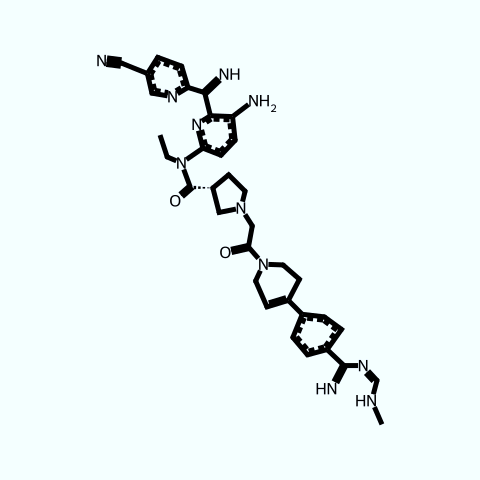 CCN(C(=O)[C@@H]1CCN(CC(=O)N2CC=C(c3ccc(C(=N)/N=C\NC)cc3)CC2)C1)c1ccc(N)c(C(=N)c2ccc(C#N)cn2)n1